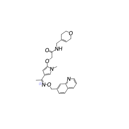 C/C(=N/OCc1ccc2cccnc2c1)c1cc(OCC(=O)NCC2=CCOCC2)n(C)c1